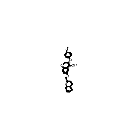 COc1ccc(O[C@@H]2COc3ccc(OCc4ccc5ccccc5n4)cc3[C@@H]2O)cc1